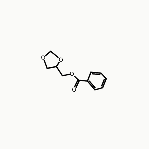 O=C(OCC1COCO1)c1ccccc1